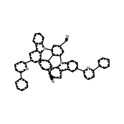 N#Cc1cccc(-c2c(-n3c4ccccc4c4cc(-c5cccc(-c6ccccc6)n5)ccc43)cc(C#N)cc2-n2c3ccccc3c3cc(-c4cccc(-c5ccccc5)n4)ccc32)c1